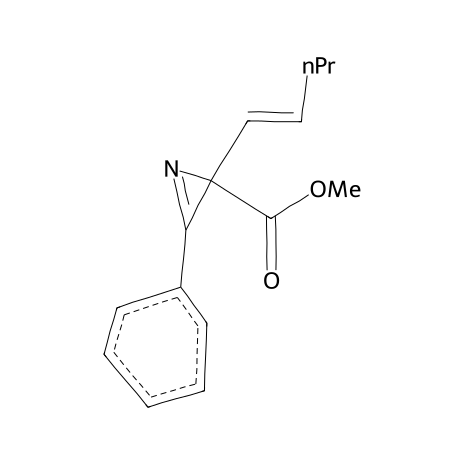 CCCC=CC1(C(=O)OC)N=C1c1ccccc1